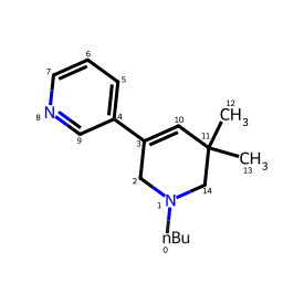 CCCCN1CC(c2cccnc2)=CC(C)(C)C1